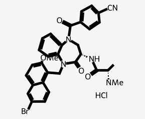 CN[C@@H](C)C(=O)N[C@H]1CN(C(=O)c2ccc(C#N)cc2)c2ccccc2N(Cc2c(OC)ccc3cc(Br)ccc23)C1=O.Cl